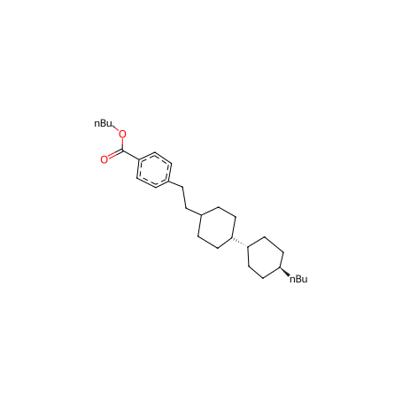 CCCCOC(=O)c1ccc(CCC2CCC([C@H]3CC[C@H](CCCC)CC3)CC2)cc1